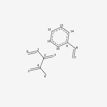 C=CC(=C)C(=C)C.C=Cc1ccccc1